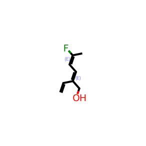 C=C/C(=C\C=C(/C)F)CO